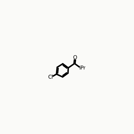 CC(C)C(=O)c1ccc(Cl)cc1